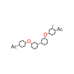 CC(=O)c1ccc(Oc2cccc(-c3cccc(Oc4ccc(C(C)=O)c(C)c4)c3)c2)cc1